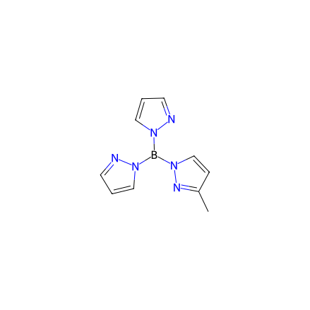 Cc1ccn(B(n2cccn2)n2cccn2)n1